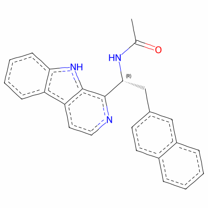 CC(=O)N[C@H](Cc1ccc2ccccc2c1)c1nccc2c1[nH]c1ccccc12